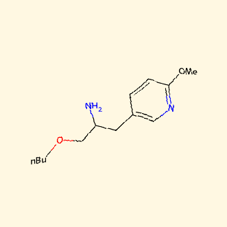 CCCCOCC(N)Cc1ccc(OC)nc1